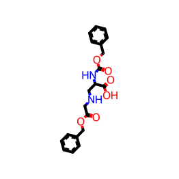 O=C(CNCC(NC(=O)OCc1ccccc1)C(=O)O)OCc1ccccc1